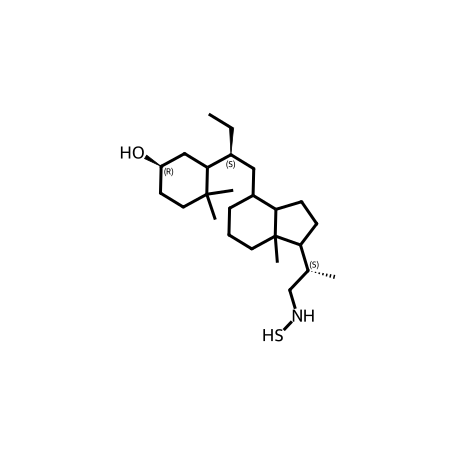 CC[C@@H](CC1CCCC2(C)C1CCC2[C@H](C)CNS)C1C[C@H](O)CCC1(C)C